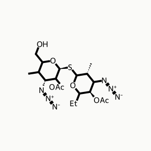 CCC1OC(S[C@@H]2OC(CO)C(C)[C@@H](N=[N+]=[N-])C2OC(C)=O)[C@H](C)C(N=[N+]=[N-])[C@H]1OC(C)=O